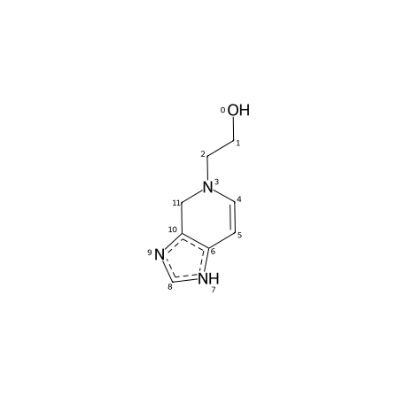 OCCN1C=Cc2[nH]cnc2C1